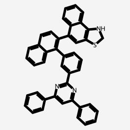 c1ccc(-c2cc(-c3ccccc3)nc(-c3cccc(-c4c(-c5cc6c(c7ccccc57)NCS6)ccc5ccccc45)c3)n2)cc1